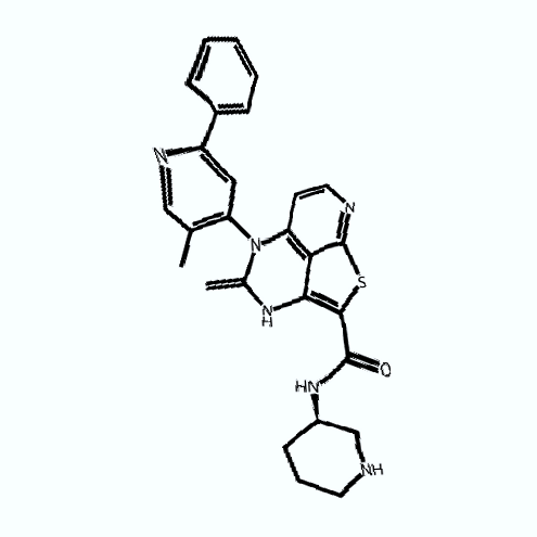 C=c1[nH]c2c(C(=O)N[C@@H]3CCCNC3)sc3nccc(c32)n1-c1cc(-c2ccccc2)ncc1C